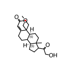 COCC12CCC(=O)C=C1CCC1[C@@H]2CCC2(C)C(C(=O)CO)CC[C@@H]12